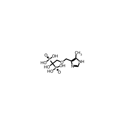 Cc1[nH]cnc1COCC(O)(P(=O)(O)O)P(=O)(O)O